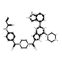 C=CC(=O)Nc1ccc(C(=O)N2CCN(C(=O)c3cc4nc(-c5cccc6[nH]ncc56)nc(N5CCOCC5)c4s3)CC2)cc1